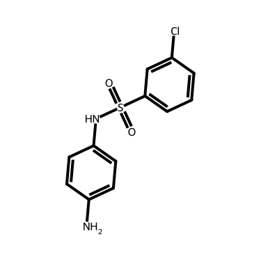 Nc1ccc(NS(=O)(=O)c2cccc(Cl)c2)cc1